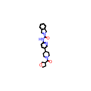 O=C(Nc1ccc(C2CCN(C(=O)C3CCOC3)CC2)cn1)N1Cc2ccccc2C1